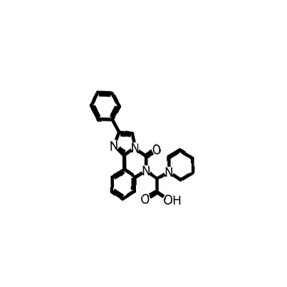 O=C(O)C(N1CCCCC1)n1c(=O)n2cc(-c3ccccc3)nc2c2ccccc21